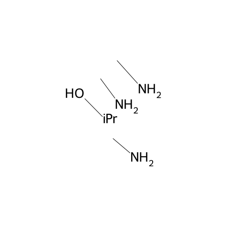 CN.CN.CN.[CH2]C(C)O